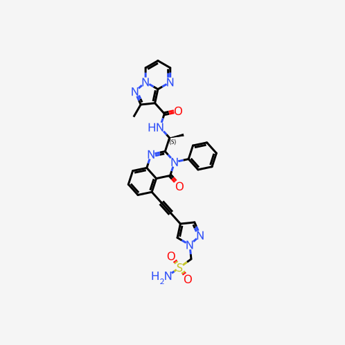 Cc1nn2cccnc2c1C(=O)N[C@@H](C)c1nc2cccc(C#Cc3cnn(CS(N)(=O)=O)c3)c2c(=O)n1-c1ccccc1